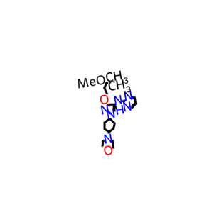 COC(C)(C)CCOc1nn(C2CCC(N3CCOCC3)CC2)cc1Nc1ncccn1